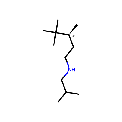 CC(C)CNCC[C@H](C)C(C)(C)C